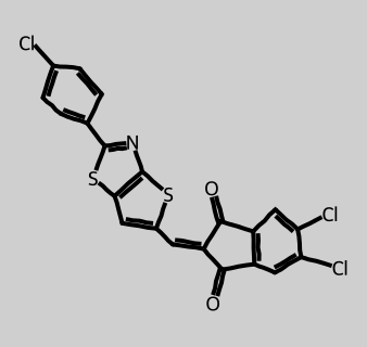 O=C1C(=Cc2cc3sc(-c4ccc(Cl)cc4)nc3s2)C(=O)c2cc(Cl)c(Cl)cc21